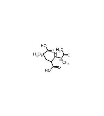 CC(=O)[C@H](C)NC(C[C@@H](C)C(=O)O)C(=O)O